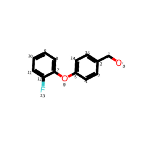 [O]Cc1ccc(Oc2ccccc2F)cc1